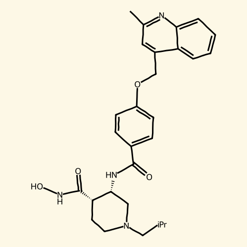 Cc1cc(COc2ccc(C(=O)N[C@@H]3CN(CC(C)C)CC[C@@H]3C(=O)NO)cc2)c2ccccc2n1